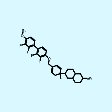 CCCC1CCC2CC(C3(C)C=CC(COc4ccc(-c5ccc(OCC)c(F)c5F)c(F)c4F)=CC3)CCC2C1